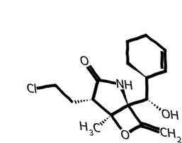 C=C1O[C@@]2(C)[C@H](CCCl)C(=O)N[C@@]12[C@@H](O)[C@@H]1C=CCCC1